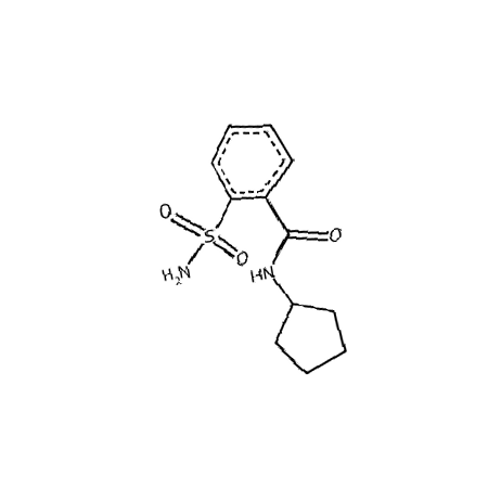 NS(=O)(=O)c1ccccc1C(=O)NC1CCCC1